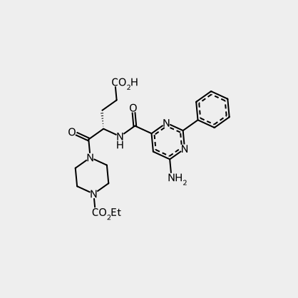 CCOC(=O)N1CCN(C(=O)[C@H](CCC(=O)O)NC(=O)c2cc(N)nc(-c3ccccc3)n2)CC1